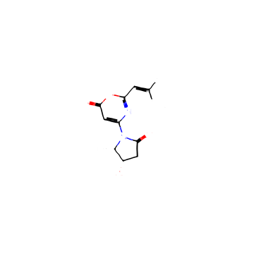 CC(C)=Cc1nc(N2C(=O)C[C@H](O)[C@@H]2C)cc(=O)o1